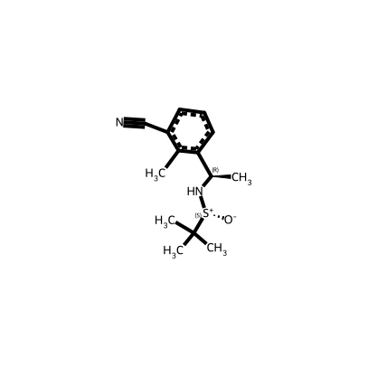 Cc1c(C#N)cccc1[C@@H](C)N[S@+]([O-])C(C)(C)C